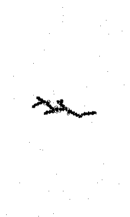 CCCCCCCC/C=C\CCCCCCCC(=O)OCCN(CCOC(=O)OC(CCCCCC)CCCCC(=O)OCC(CCCC)CCCCCC)CCN(CC)CC